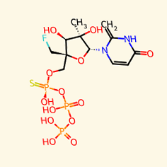 C=C1NC(=O)C=CN1[C@@H]1O[C@](CF)(CO[P@@](O)(=S)OP(=O)(O)OP(=O)(O)O)[C@@H](O)[C@@]1(C)O